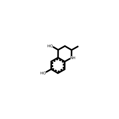 CC1CC(O)c2cc(O)ccc2N1